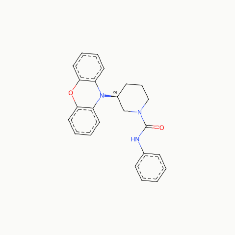 O=C(Nc1ccccc1)N1CCC[C@H](N2c3ccccc3Oc3ccccc32)C1